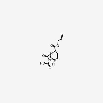 C=CCOC(=O)C1CC[C@@H]2CN1C(=O)N2C(=O)O